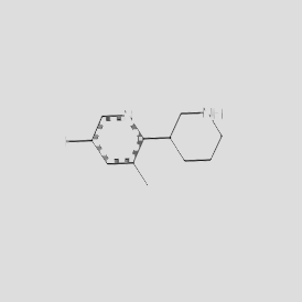 Cc1cc(I)cnc1C1CCCNC1